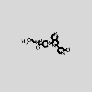 CCCNC(=O)C1CCN(c2nc(-c3ccnc(Cl)c3)cc3cnccc23)CC1